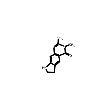 Cc1nc2cc3c(cc2c(=O)n1C)CCN3